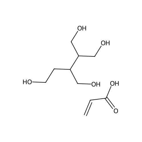 C=CC(=O)O.OCCC(CO)C(CO)CO